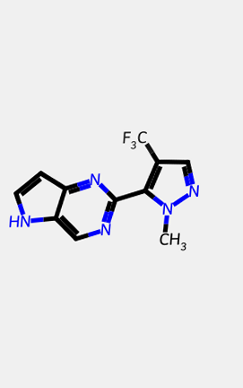 Cn1ncc(C(F)(F)F)c1-c1ncc2[nH]ccc2n1